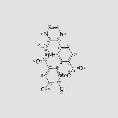 COC(=O)c1ccc(-c2nccnc2[C@@H](C)NC(=O)c2ccc(Cl)c(Cl)c2)cc1